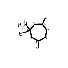 CCC1(N)CC(C)CCC(C)C1